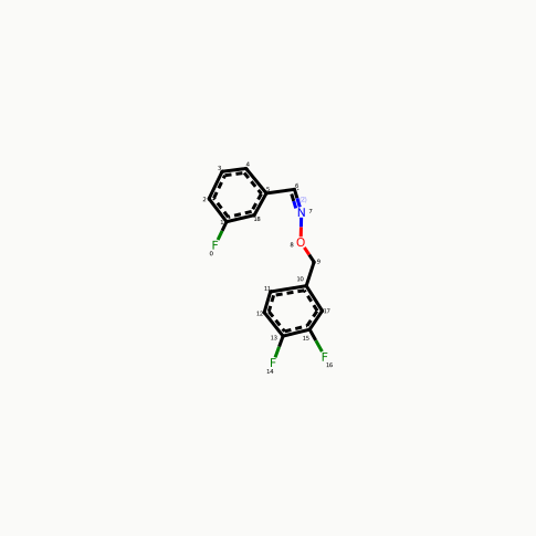 Fc1cccc(/[C]=N\OCc2ccc(F)c(F)c2)c1